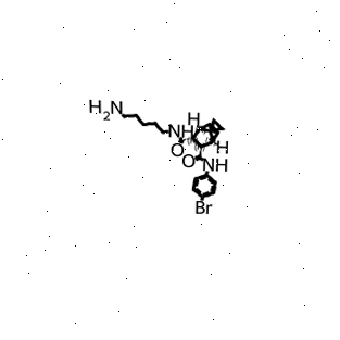 NCCCCCNC(=O)[C@H]1[C@H](C(=O)Nc2ccc(Br)cc2)[C@@H]2C=C[C@H]1C21CC1